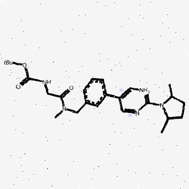 C=C(/N=C\C(=C/N)c1cccc(CN(C)C(=O)CNC(=O)OC(C)(C)C)c1)N1C(C)CCC1C